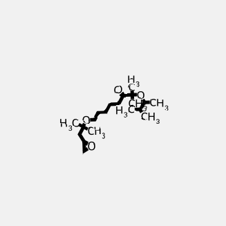 CC(C)C(C)OC(C)(C)C(=O)CCCCCOC(C)(C)CC1CO1